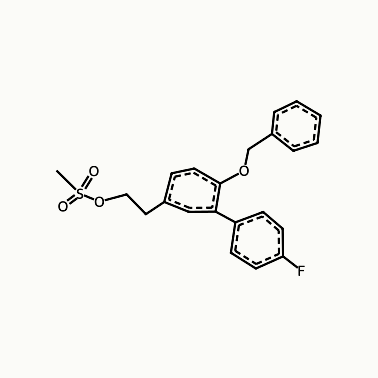 CS(=O)(=O)OCCc1ccc(OCc2ccccc2)c(-c2ccc(F)cc2)c1